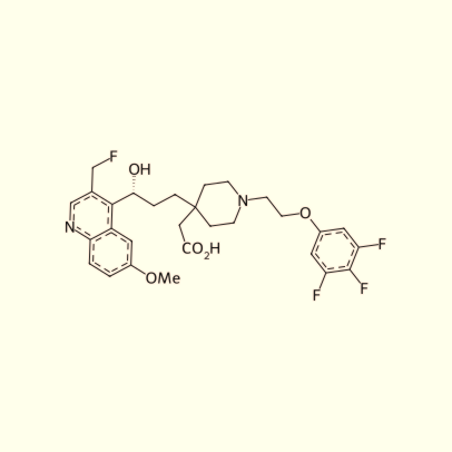 COc1ccc2ncc(CF)c([C@H](O)CCC3(CC(=O)O)CCN(CCOc4cc(F)c(F)c(F)c4)CC3)c2c1